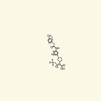 Cc1cnc(CC(=O)Nc2cc([C@H]3CC[C@@H](N(C(=O)O)C4(CC(F)(F)F)CC4)C3)[nH]n2)o1